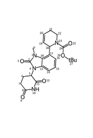 Cn1c(=O)n(C2CCC(=O)NC2=O)c2cccc(C3C=CCCN3C(=O)OC(C)(C)C)c21